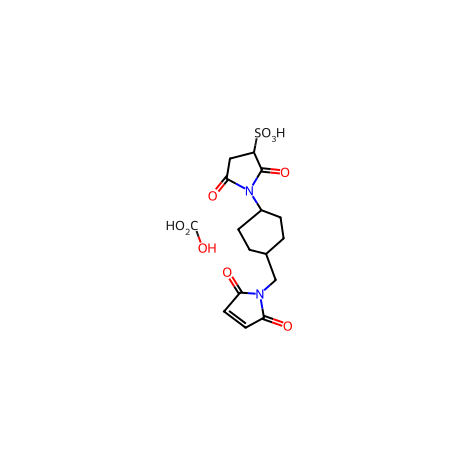 O=C(O)O.O=C1C=CC(=O)N1CC1CCC(N2C(=O)CC(S(=O)(=O)O)C2=O)CC1